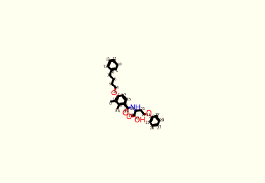 Cc1c(OCCCCc2ccccc2)ccc(C(=O)NC(CCOc2ccccc2)C(=O)O)c1C